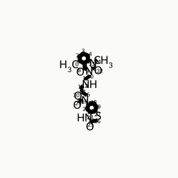 Cc1cccc2c1c(=O)n(CCNCC1CN(c3ccc4c(c3)NC(=O)CS4)C(=O)O1)c(=O)n2C